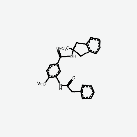 COc1ccc(C(=O)NC2(C(=O)O)Cc3ccccc3C2)cc1NC(=O)Cc1ccccc1